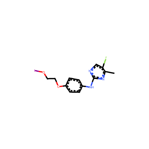 Cc1nc(Nc2ccc(OCCOI)cc2)ncc1F